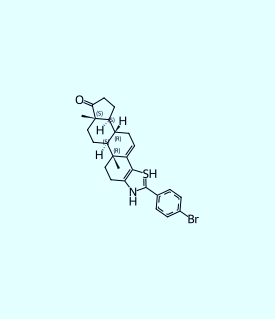 C[C@]12CCC3=C([SH]=C(c4ccc(Br)cc4)N3)C1=CC[C@@H]1[C@@H]2CC[C@]2(C)C(=O)CC[C@@H]12